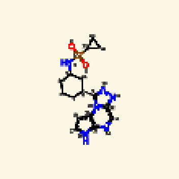 O=S(=O)(N[C@@H]1CCC[C@@H](c2nnc3cnc4[nH]ccc4n23)C1)C1CC1